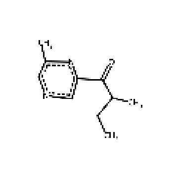 CCC(C)C(=O)c1cncc(C)n1